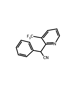 N#CC(c1ccccc1)c1ncccc1C(F)(F)F